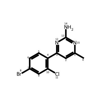 Cc1cc(-c2ccc(Br)cc2Cl)nc(N)n1